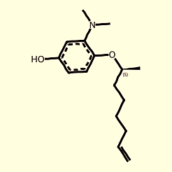 C=CCCCC[C@H](C)Oc1ccc(O)cc1N(C)C